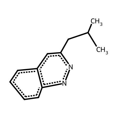 CC(C)Cc1cc2ccccc2nn1